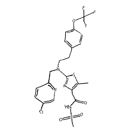 Cc1sc(N(CCc2ccc(OC(F)(F)F)cc2)Cc2ccc(Cl)cn2)nc1C(=O)NS(C)(=O)=O